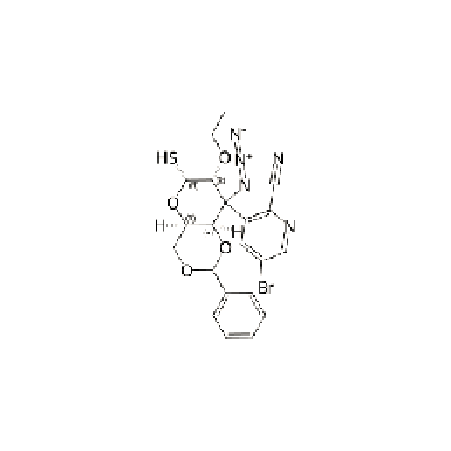 CCO[C@H]1[C@@H](S)O[C@@H]2COC(c3ccccc3)O[C@@H]2C1(N=[N+]=[N-])c1cc(Br)cnc1C#N